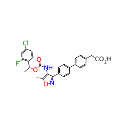 Cc1onc(-c2ccc(-c3ccc(CC(=O)O)cc3)cc2)c1NC(=O)OC(C)c1ccc(Cl)cc1F